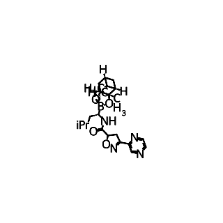 CC(C)C[C@H](NC(=O)C1CC(c2cnccn2)=NO1)B1O[C@@H]2C[C@@H]3C[C@@H](C3(C)C)[C@]2(C)O1